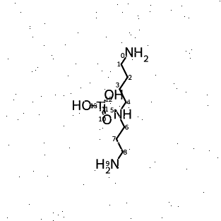 NCCCCNCCCN.[O]=[Ti]([OH])[OH]